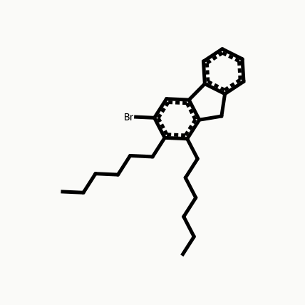 CCCCCCc1c(Br)cc2c(c1CCCCCC)Cc1ccccc1-2